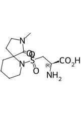 CN1CCC2(CCCCN2S(=O)(=O)C[C@H](N)C(=O)O)C1=O